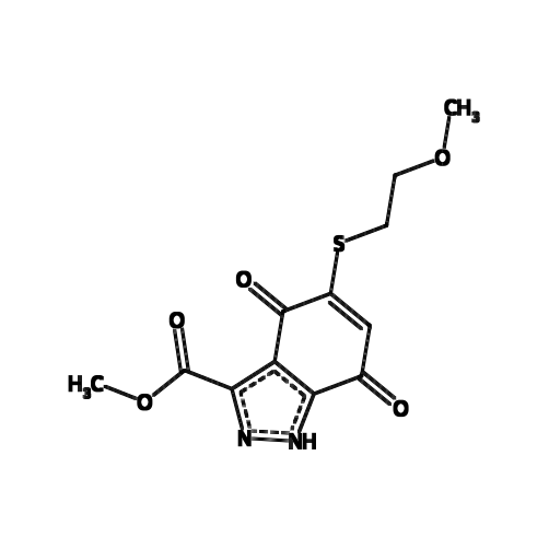 COCCSC1=CC(=O)c2[nH]nc(C(=O)OC)c2C1=O